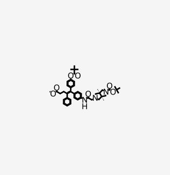 COC(=O)CC/C(=C(/c1ccc(NC(=O)CN2C[C@@]3(C)CN(C(=O)OC(C)(C)C)C[C@@]3(C)C2)cc1)c1ccc(OC(=O)C(C)(C)C)cc1)c1ccccc1